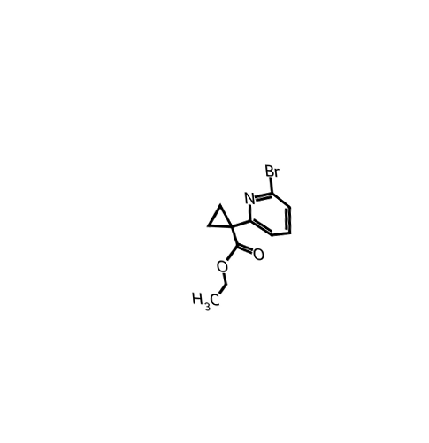 CCOC(=O)C1(c2cccc(Br)n2)CC1